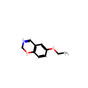 CCOc1ccc2c(c1)C=NCO2